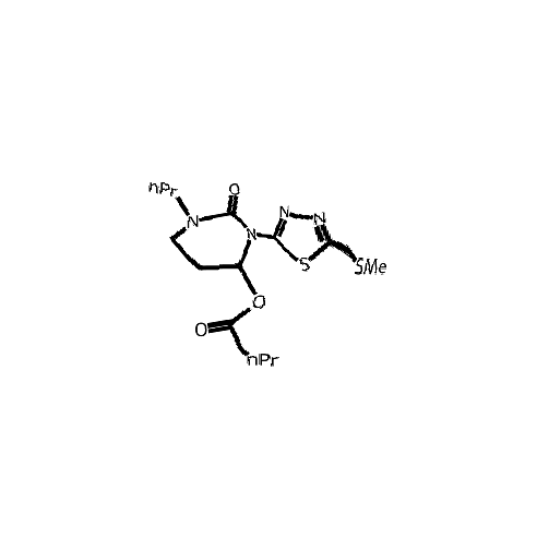 CCCC(=O)OC1CCN(CCC)C(=O)N1c1nnc(SC)s1